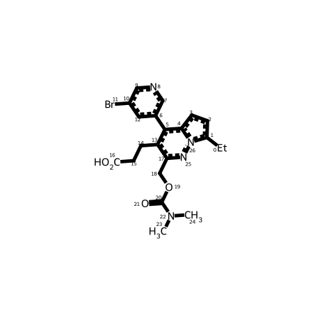 CCc1ccc2c(-c3cncc(Br)c3)c(CCC(=O)O)c(COC(=O)N(C)C)nn12